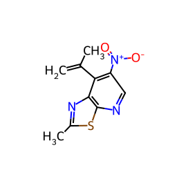 C=C(C)c1c([N+](=O)[O-])cnc2sc(C)nc12